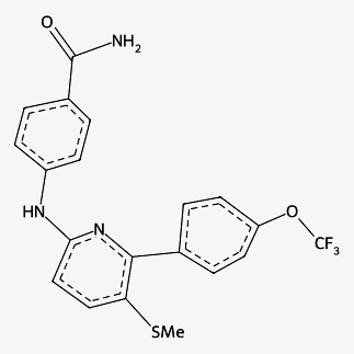 CSc1ccc(Nc2ccc(C(N)=O)cc2)nc1-c1ccc(OC(F)(F)F)cc1